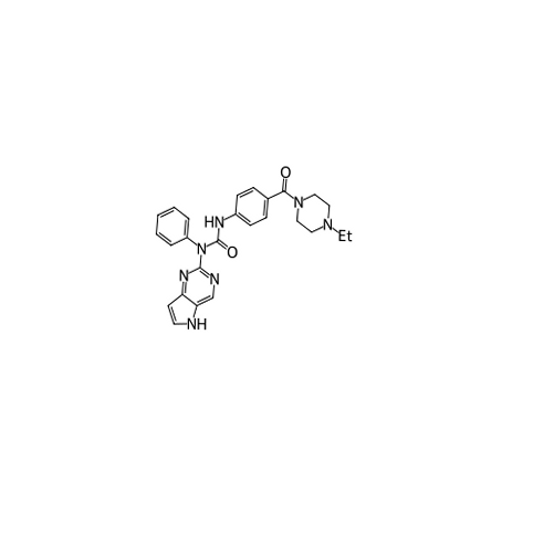 CCN1CCN(C(=O)c2ccc(NC(=O)N(c3ccccc3)c3ncc4[nH]ccc4n3)cc2)CC1